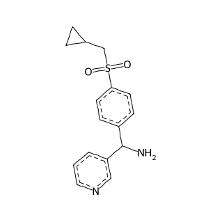 NC(c1ccc(S(=O)(=O)CC2CC2)cc1)c1cccnc1